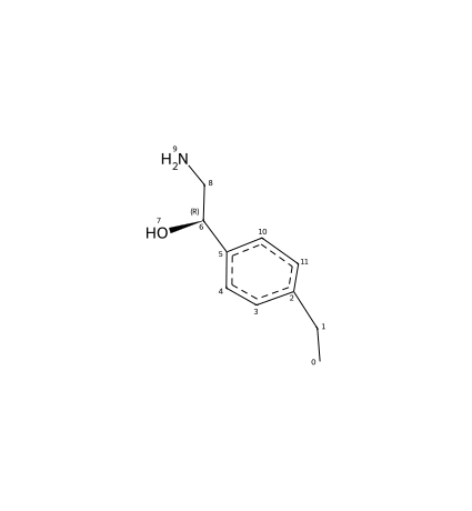 CCc1ccc([C@@H](O)CN)cc1